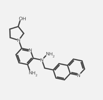 Nc1ccc(N2CCC(O)C2)nc1N(N)Cc1ccc2ncccc2c1